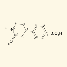 CN1CCC(c2ccc(C(=O)O)cc2)CC1=O